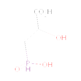 O=C(O)C(O)C[PH](=O)O